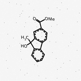 COC(=O)c1ccc2c(c1)C(C)(O)c1ccccc1-2